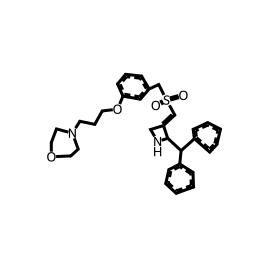 O=S(=O)(C=C1CNC1C(c1ccccc1)c1ccccc1)Cc1cccc(OCCCN2CCOCC2)c1